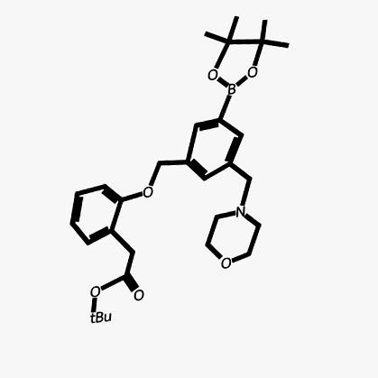 CC(C)(C)OC(=O)Cc1ccccc1OCc1cc(CN2CCOCC2)cc(B2OC(C)(C)C(C)(C)O2)c1